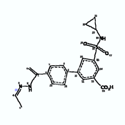 C=C(N/N=C\C)c1ccc(-c2cc(C(=O)O)cc(S(=O)(=O)NC3CC3)c2)cc1